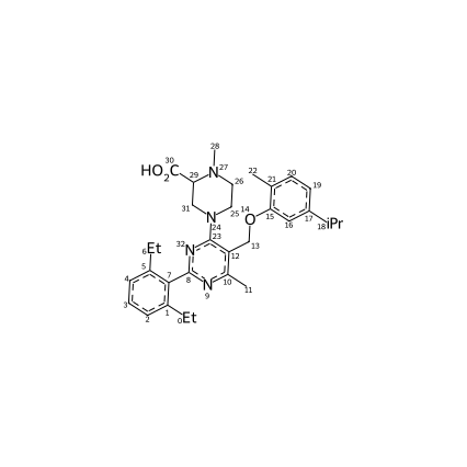 CCc1cccc(CC)c1-c1nc(C)c(COc2cc(C(C)C)ccc2C)c(N2CCN(C)C(C(=O)O)C2)n1